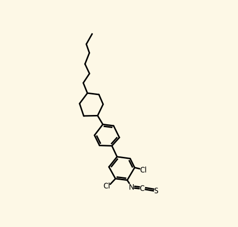 CCCCCCC1CCC(c2ccc(-c3cc(Cl)c(N=C=S)c(Cl)c3)cc2)CC1